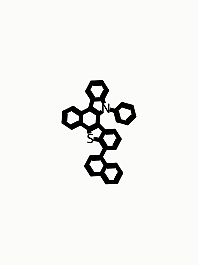 c1ccc(-n2c3ccccc3c3c4ccccc4c4sc5c(-c6cccc7ccccc67)cccc5c4c32)cc1